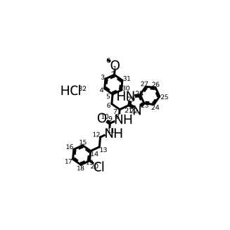 COc1ccc(CC(NC(=O)NCCc2ccccc2Cl)c2nc3ccccc3[nH]2)cc1.Cl